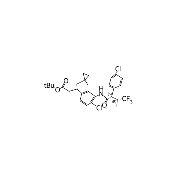 C[C@H]([C@H](C(=O)Nc1cc(C(CC(=O)OC(C)(C)C)CC2(C)CC2)ccc1Cl)c1ccc(Cl)cc1)C(F)(F)F